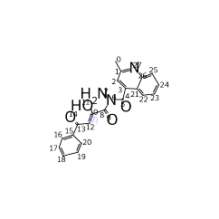 Cc1cc(C(=O)N(N)C(=O)/C(O)=C/C(=O)c2ccccc2)c2ccccc2n1